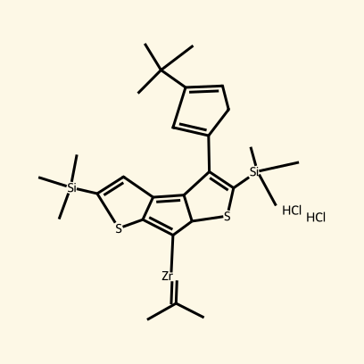 C[C](C)=[Zr][C]1=c2sc([Si](C)(C)C)cc2=C2C(C3=CC(C(C)(C)C)=CC3)=C([Si](C)(C)C)SC21.Cl.Cl